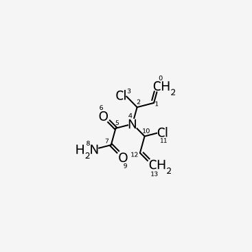 C=CC(Cl)N(C(=O)C(N)=O)C(Cl)C=C